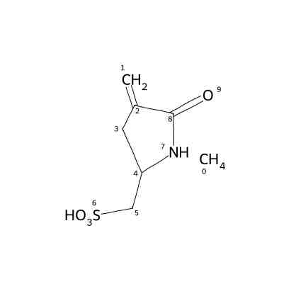 C.C=C1CC(CS(=O)(=O)O)NC1=O